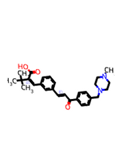 CN1CCN(Cc2ccc(C(=O)/C=C/c3cccc(/C=C(\C(=O)O)C(C)(C)C)c3)cc2)CC1